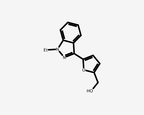 CCn1nc(-c2ccc(CO)o2)c2ccccc21